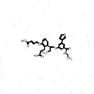 CCNC(=O)c1cc(O/C=C(\CC)c2cccc(OCCCC(=O)O)c2CCC(=O)O)cc(-c2ccsc2)c1